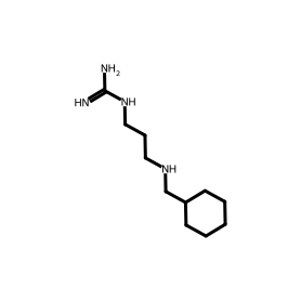 N=C(N)NCCCNCC1CCCCC1